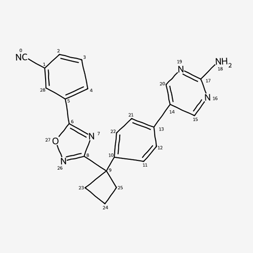 N#Cc1cccc(-c2nc(C3(c4ccc(-c5cnc(N)nc5)cc4)CCC3)no2)c1